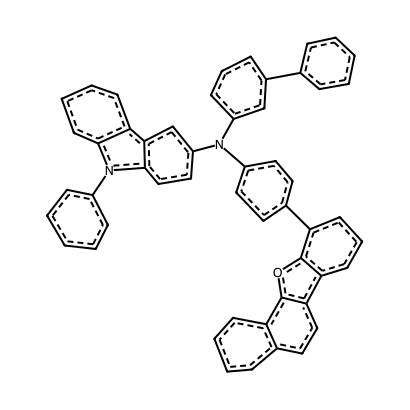 c1ccc(-c2cccc(N(c3ccc(-c4cccc5c4oc4c6ccccc6ccc54)cc3)c3ccc4c(c3)c3ccccc3n4-c3ccccc3)c2)cc1